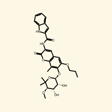 CCCOc1cc2cc(NC(=O)c3cc4ccccc4[nH]3)c(=O)oc2c(C)c1O[C@@H]1OC(C)(C)[C@H](OC)[C@@H](O)[C@H]1O